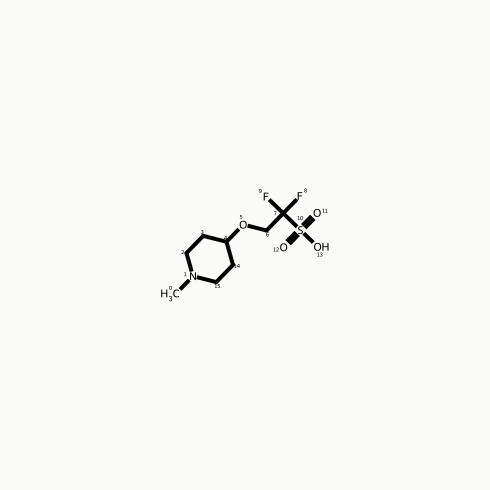 CN1CCC(OCC(F)(F)S(=O)(=O)O)CC1